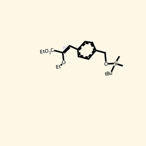 CCOC(=O)/C(=C/c1ccc(CO[Si](C)(C)C(C)(C)C)cc1)OCC